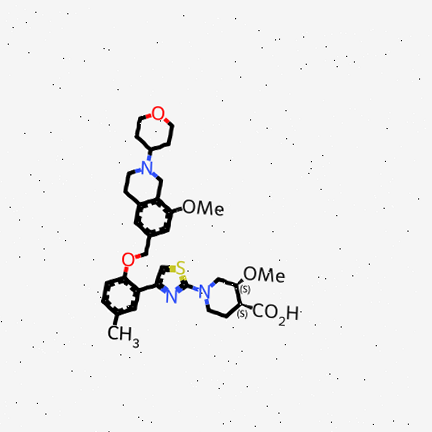 COc1cc(COc2ccc(C)cc2-c2csc(N3CC[C@H](C(=O)O)[C@H](OC)C3)n2)cc2c1CN(C1CCOCC1)CC2